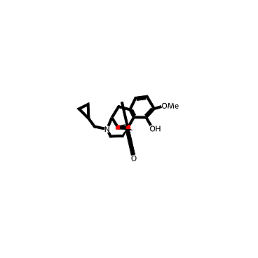 COc1ccc2c(c1O)[C@@]13CCN(CC4CC4)C(C2)C1CCC(=O)C3